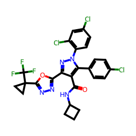 O=C(NC1CCC1)c1c(-c2nnc(C3(C(F)(F)F)CC3)o2)nn(-c2ccc(Cl)cc2Cl)c1-c1ccc(Cl)cc1